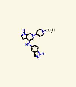 O=C(O)N1CC=C(N2C=C(Nc3ccc4[nH]ncc4c3)c3cc[nH]c3C2)CC1